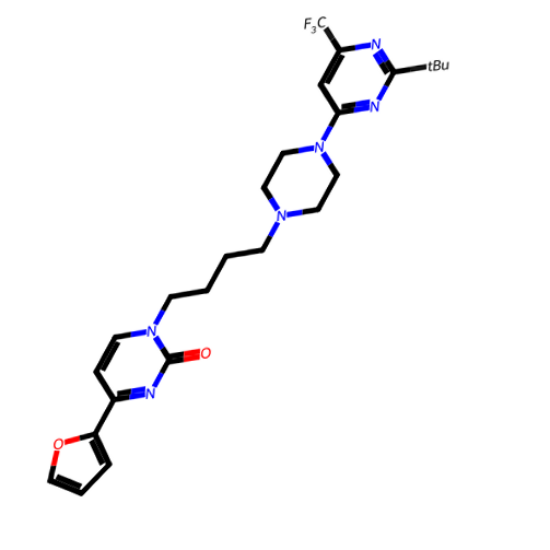 CC(C)(C)c1nc(N2CCN(CCCCn3ccc(-c4ccco4)nc3=O)CC2)cc(C(F)(F)F)n1